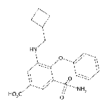 NS(=O)(=O)c1cc(C(=O)O)cc(NCC2CCC2)c1Oc1ccccc1